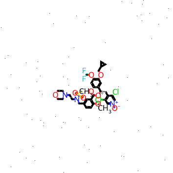 COc1ccc(CN(CCN2CCOCC2)S(C)(=O)=O)cc1C(=O)O[C@@H](Cc1c(Cl)c[n+]([O-])cc1Cl)c1ccc(OC(F)F)c(OCC2CC2)c1